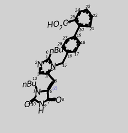 CCCCc1ncc(/C=C2/C(=O)NC(=O)N2CCCC)n1Cc1ccc(-c2ccccc2C(=O)O)cc1